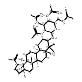 C=C(C)[C@@H]1CC[C@]2(C)CC[C@]3(C)[C@H](CCC4[C@@]5(C)CC[C@@H](O[C@@H]6O[C@H](COC(C)=O)[C@@H](OC(C)=O)[C@H](OC(C)=O)[C@H]6OC(C)=O)C(C)(C)[C@@H]5CC[C@]43C)[C@@H]12